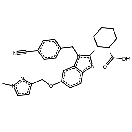 Cn1ccc(COc2ccc3nc([C@@H]4CCCC[C@@H]4C(=O)O)n(Cc4ccc(C#N)cc4)c3c2)n1